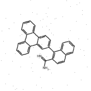 N=C(N)c1ccc2ccccc2c1-c1ccc2c3ccccc3c3ccccc3c2c1